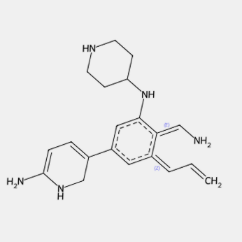 C=C/C=c1/cc(C2=CC=C(N)NC2)cc(NC2CCNCC2)/c1=C/N